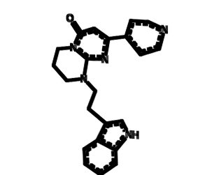 O=c1cc(-c2ccncc2)nc2n1CCCN2CCc1c[nH]c2ccccc12